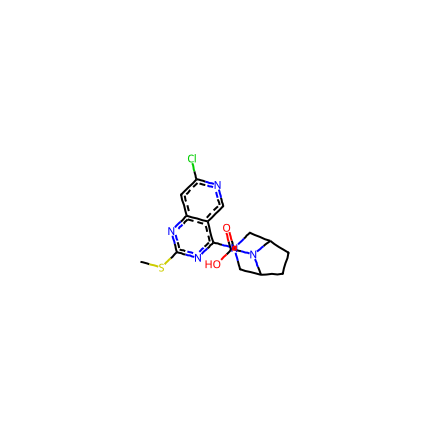 CSc1nc(N2CC3CCC(C2)N3C(=O)O)c2cnc(Cl)cc2n1